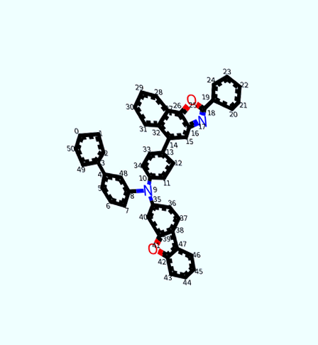 c1ccc(-c2cccc(N(c3ccc(-c4cc5nc(-c6ccccc6)oc5c5ccccc45)cc3)c3ccc4c(c3)oc3ccccc34)c2)cc1